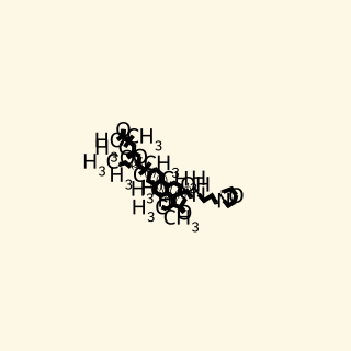 CCCC[C@H](OC(=O)CC(C)(C)C(=O)O)C(C)(C)[C@@H]1CC[C@]2(C)[C@H](CC[C@@H]3C4=C(C(C)C)C(=O)C[C@]4([C@H](O)CNCCCN4CCOCC4)CC[C@]32C)C1